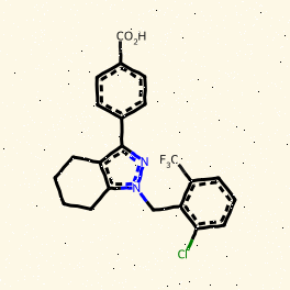 O=C(O)c1ccc(-c2nn(Cc3c(Cl)cccc3C(F)(F)F)c3c2CCCC3)cc1